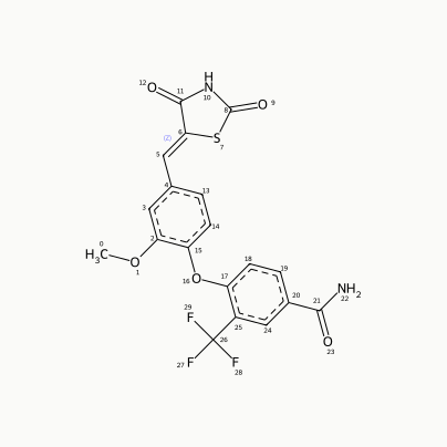 COc1cc(/C=C2\SC(=O)NC2=O)ccc1Oc1ccc(C(N)=O)cc1C(F)(F)F